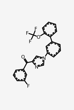 O=C(c1cccc(F)c1)c1cn(-c2cccc(-c3ccccc3OC(F)(F)F)c2)cn1